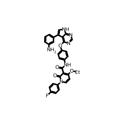 CCOc1ccn(-c2ccc(F)cc2)c(=O)c1C(=O)Nc1ccc(Oc2ncnc3[nH]cc(-c4cccc(N)c4)c23)cc1